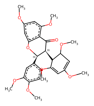 COC1=CC(OC)C([C@@H]2C(=O)c3c(OC)cc(OC)cc3O[C@@H]2c2ccc(OC)c(OC)c2)C(OC)=C1